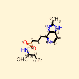 Cc1nc2c(CCCS(=O)(=O)N[C@H](C=O)CC(C)C)nccc2[nH]1